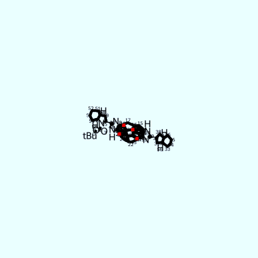 CC(C)(C)OC(=O)N1[C@H](c2nc3cc(-c4cc5ccc4CCc4ccc(c(-c6ccc7[nH]c([C@H]8C[C@H]9CCCC[C@H]9C8)nc7c6)c4)CC5)ccc3[nH]2)C[C@@H]2CCCC[C@@H]21